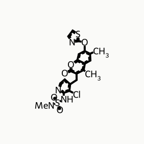 CNS(=O)(=O)Nc1nccc(Cc2c(C)c3cc(C)c(Oc4nccs4)cc3oc2=O)c1Cl